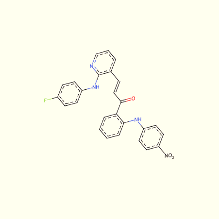 O=C(C=Cc1cccnc1Nc1ccc(F)cc1)c1ccccc1Nc1ccc([N+](=O)[O-])cc1